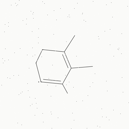 CC1=[C]CCC(C)=C1C